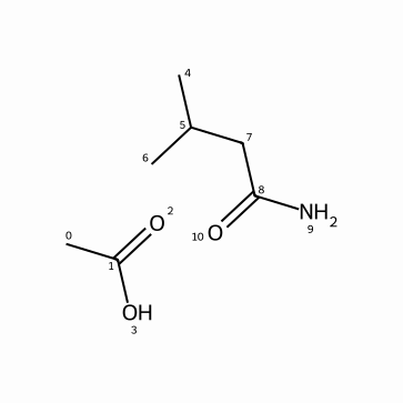 CC(=O)O.CC(C)CC(N)=O